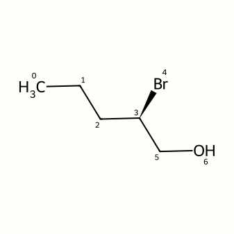 CCC[C@@H](Br)CO